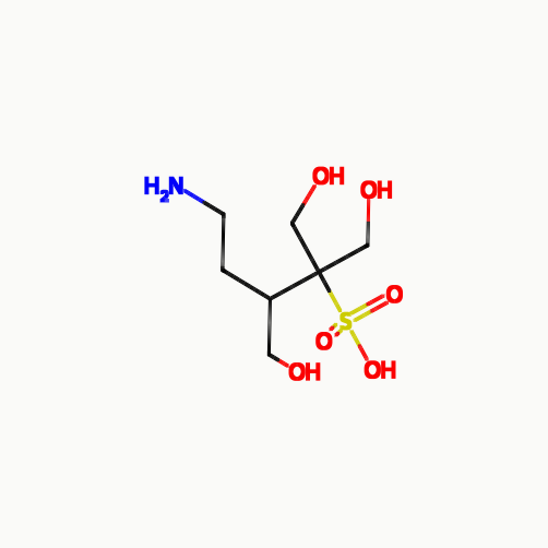 NCCC(CO)C(CO)(CO)S(=O)(=O)O